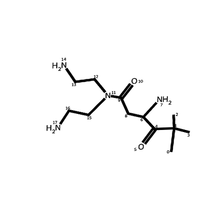 CC(C)(C)C(=O)C(N)CC(=O)N(CCN)CCN